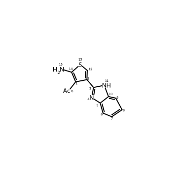 CC(=O)c1c(-c2nc3ccccc3[nH]2)csc1N